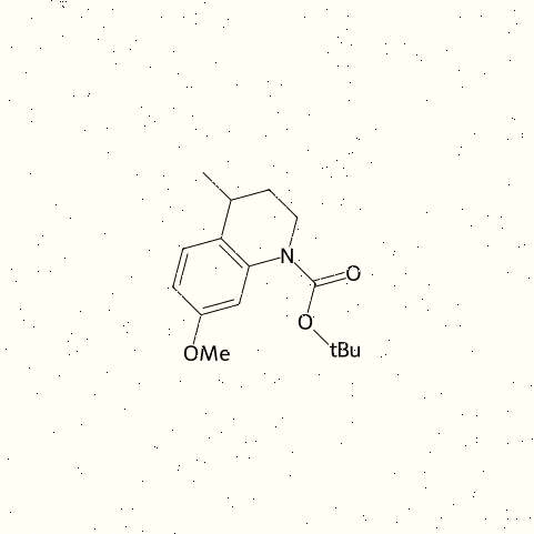 COc1ccc2c(c1)N(C(=O)OC(C)(C)C)CCC2C